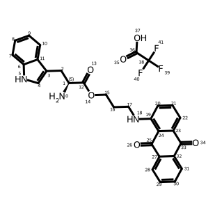 N[C@@H](Cc1c[nH]c2ccccc12)C(=O)OCCCNc1cccc2c1C(=O)c1ccccc1C2=O.O=C(O)C(F)(F)F